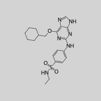 CCNS(=O)(=O)c1ccc(Nc2nc(OCC3CCCCC3)c3nc[nH]c3n2)cc1